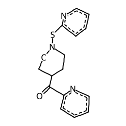 O=C(c1ccccn1)C1CCN(Sc2ccccn2)CC1